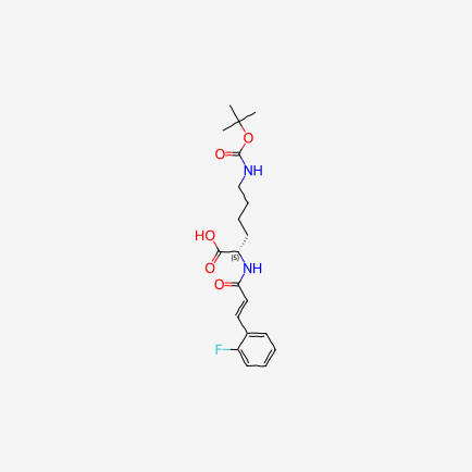 CC(C)(C)OC(=O)NCCCC[C@H](NC(=O)C=Cc1ccccc1F)C(=O)O